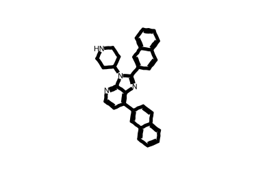 c1ccc2cc(-c3ccnc4c3nc(-c3ccc5ccccc5c3)n4C3CCNCC3)ccc2c1